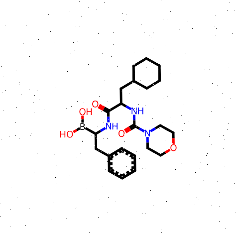 O=C(NC(Cc1ccccc1)B(O)O)C(CC1CCCCC1)NC(=O)N1CCOCC1